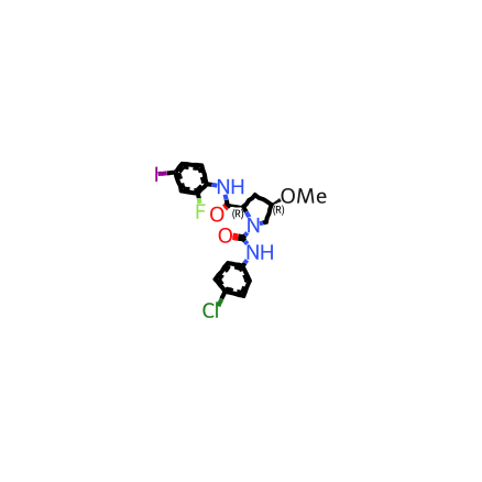 CO[C@@H]1C[C@H](C(=O)Nc2ccc(I)cc2F)N(C(=O)Nc2ccc(Cl)cc2)C1